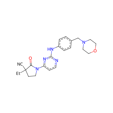 CCC1(C#N)CCN(c2ccnc(Nc3ccc(CN4CCOCC4)cc3)n2)C1=O